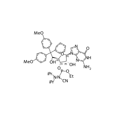 CCOP(O[C@H]1[C@@H](O)[C@H](n2cnc3c(=O)[nH]c(N)nc32)O[C@@H]1C(O)C(c1ccccc1)(c1ccc(OC)cc1)c1ccc(OC)cc1)N(C#N)N(C(C)C)C(C)C